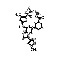 Cc1cc(Nc2nc(C3CCCN(C(=O)OC(C)(C)C)C3)cn3c(-c4cnn(C)c4)cnc23)sc1S(=O)(=O)N(C)C